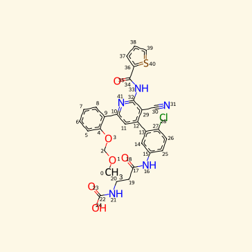 COCOc1ccccc1-c1cc(-c2cc(NC(=O)CCNC(=O)O)ccc2Cl)c(C#N)c(NC(=O)c2cccs2)n1